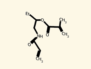 C=CC(=O)NCC(CC)OC(=O)C(=C)C